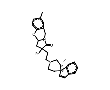 Cc1ccc2c(c1)CN1C(=O)C(CCN3CC[C@@]4(C=Cc5ccccc54)[C@@H](C)C3)(C(C)C)CC1O2